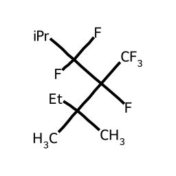 CCC(C)(C)C(F)(C(F)(F)F)C(F)(F)C(C)C